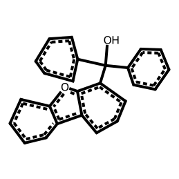 OC(c1ccccc1)(c1ccccc1)c1cccc2c1oc1ccccc12